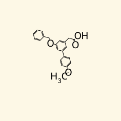 COc1ccc(-c2cc(CC(=O)O)cc(OCc3ccccc3)c2)cc1